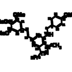 CCCc1nn(C)c2c(NCc3ccc(OC)cc3)nc(C=Cc3cc(OC)c(OC)c(OC)c3)nc12